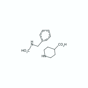 O=C(O)C1CCNCC1.O=C(O)NCc1ccccc1